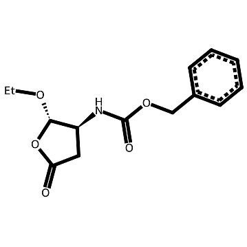 CCO[C@H]1OC(=O)C[C@@H]1NC(=O)OCc1ccccc1